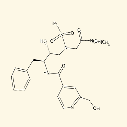 CC(C)S(=O)(=O)N(CC(=O)N(C)O)C[C@@H](O)[C@H](Cc1ccccc1)NC(=O)c1ccnc(CO)c1